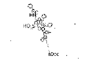 CCCCCCCCCCCCCCCCCC(=O)OCC(O)CO[C@H]1O[C@H](CS(=O)(=O)O)[C@@H](OC(=O)CCNC(=O)OCc2ccccc2)[C@H](OCc2ccccc2)[C@H]1OCc1ccccc1